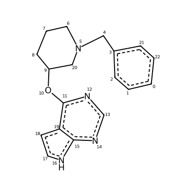 c1ccc(CN2CCCC(Oc3ncnc4[nH]ccc34)C2)cc1